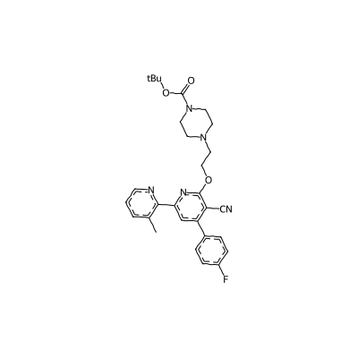 Cc1cccnc1-c1cc(-c2ccc(F)cc2)c(C#N)c(OCCN2CCN(C(=O)OC(C)(C)C)CC2)n1